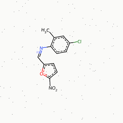 Cc1cc(Cl)ccc1/N=C\c1ccc([N+](=O)[O-])o1